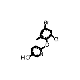 Cc1cc(Br)cc(Cl)c1Oc1ccc(O)cn1